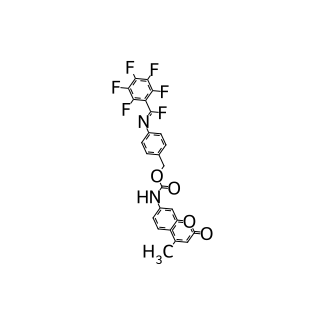 Cc1cc(=O)oc2cc(NC(=O)OCc3ccc(N=C(F)c4c(F)c(F)c(F)c(F)c4F)cc3)ccc12